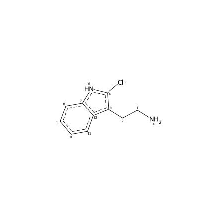 NCCc1c(Cl)[nH]c2ccccc12